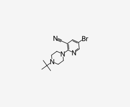 CC(C)(C)N1CCN(c2ncc(Br)cc2C#N)CC1